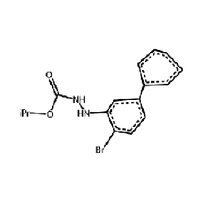 CC(C)OC(=O)NNc1cc(-c2ccccc2)ccc1Br